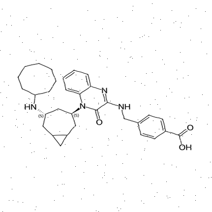 O=C(O)c1ccc(CNc2nc3ccccc3n([C@H]3CC4CC4C[C@H](NC4CCCCCCC4)C3)c2=O)cc1